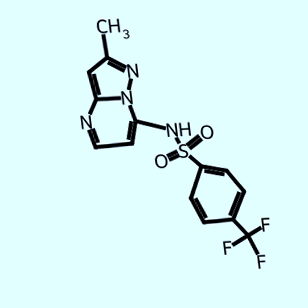 Cc1cc2nccc(NS(=O)(=O)c3ccc(C(F)(F)F)cc3)n2n1